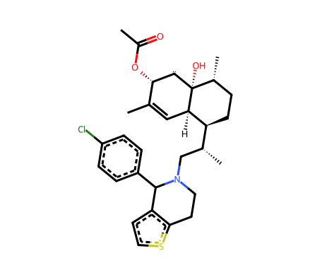 CC(=O)O[C@@H]1[C][C@@]2(O)[C@H](C)CC[C@@H]([C@H](C)CN3CCc4sccc4C3c3ccc(Cl)cc3)[C@H]2C=C1C